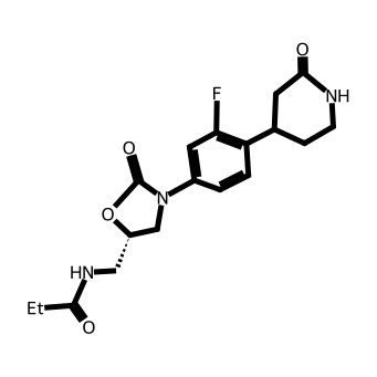 CCC(=O)NC[C@H]1CN(c2ccc(C3CCNC(=O)C3)c(F)c2)C(=O)O1